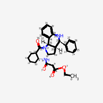 CCOC(=O)CC(=O)N[C@@H]1CCCCC1C(=O)N1CC[C@@H]2[C@H](c3ccccc3)Nc3ccccc3[C@@H]21